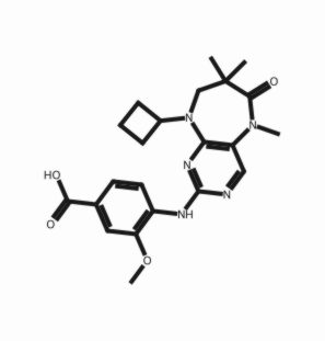 COc1cc(C(=O)O)ccc1Nc1ncc2c(n1)N(C1CCC1)CC(C)(C)C(=O)N2C